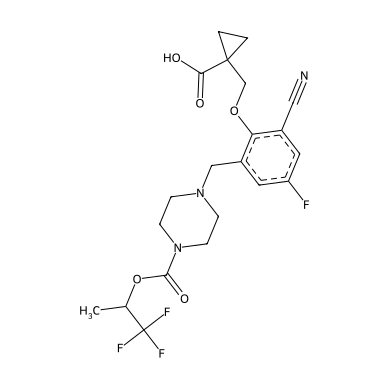 CC(OC(=O)N1CCN(Cc2cc(F)cc(C#N)c2OCC2(C(=O)O)CC2)CC1)C(F)(F)F